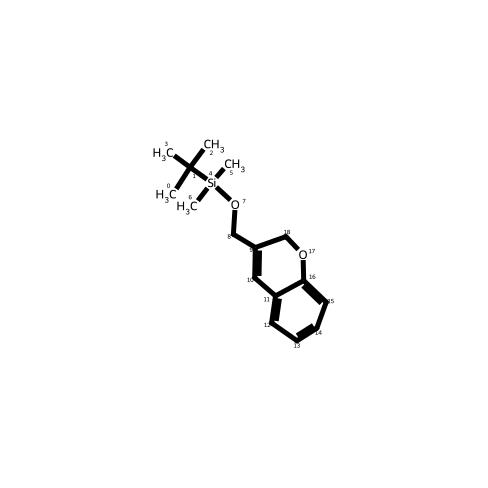 CC(C)(C)[Si](C)(C)OCC1=Cc2ccccc2OC1